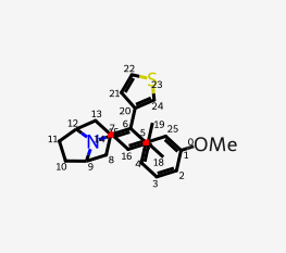 COc1cccc(C(=C2CC3CCC(C2)N3CC=C(C)C)c2ccsc2)c1